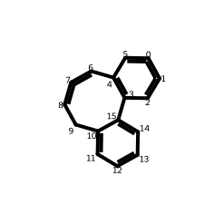 C1=C=CC2=C(C=1)C=C=CCc1ccccc12